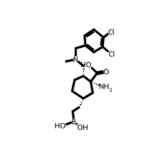 CN(Cc1ccc(Cl)c(Cl)c1)C[C@H]1CC[C@@H](CCB(O)O)C[C@]1(N)C(=O)O